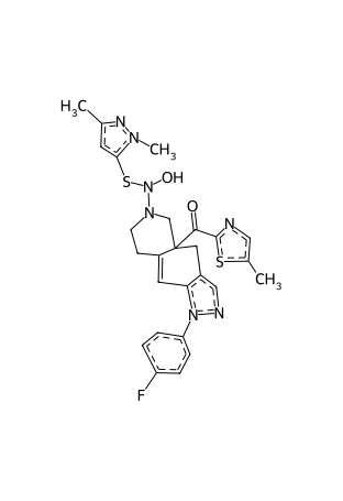 Cc1cc(SN(O)N2CCC3=Cc4c(cnn4-c4ccc(F)cc4)CC3(C(=O)c3ncc(C)s3)C2)n(C)n1